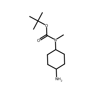 CN(C(=O)OC(C)(C)C)C1CCC(N)CC1